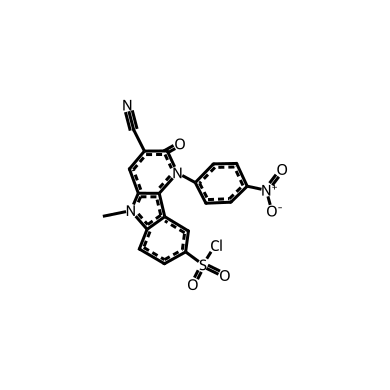 Cn1c2ccc(S(=O)(=O)Cl)cc2c2c1cc(C#N)c(=O)n2-c1ccc([N+](=O)[O-])cc1